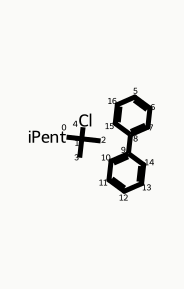 CCCC(C)C(C)(C)Cl.c1ccc(-c2ccccc2)cc1